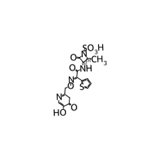 C[C@H]1[C@H](NC(=O)C(=NOCC2=NC=C(O)C(=O)C2)c2cccs2)C(=O)N1S(=O)(=O)O